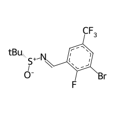 CC(C)(C)[S@@+]([O-])/N=C/c1cc(C(F)(F)F)cc(Br)c1F